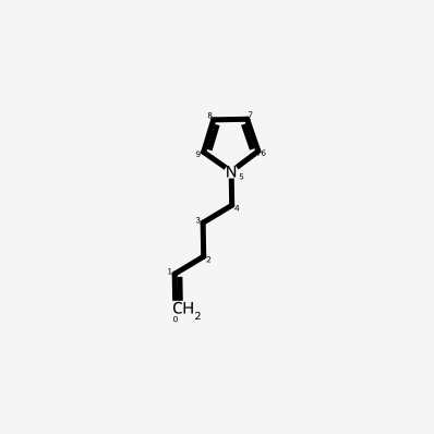 C=CCCCn1[c]ccc1